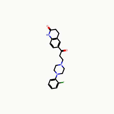 O=C1CCc2cc(C(=O)CCN3CCN(c4ccccc4F)CC3)ccc2N1